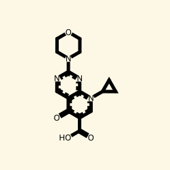 O=C(O)c1cn(C2CC2)c2nc(N3CCOCC3)ncc2c1=O